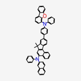 CC1(C)c2cc(-c3ccc(N(c4ccccc4)c4cccc5c4oc4ccccc45)cc3)ccc2-c2c1cc(N(c1ccccc1)c1ccc3ccccc3c1)c1ccccc21